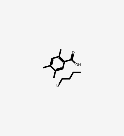 Cc1cc(C)c(C(=O)O)cc1C.[Li][CH2]CCC